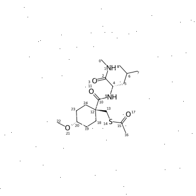 CNC(=O)[C@H](CC(C)C)NC(=O)[C@]1(CSC(C)=O)CC[C@H](OC)CC1